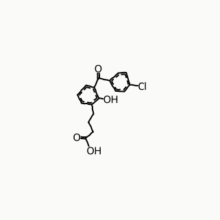 O=C(O)CCCc1cccc(C(=O)c2ccc(Cl)cc2)c1O